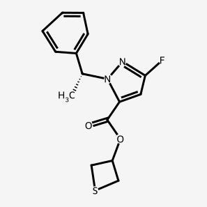 C[C@H](c1ccccc1)n1nc(F)cc1C(=O)OC1CSC1